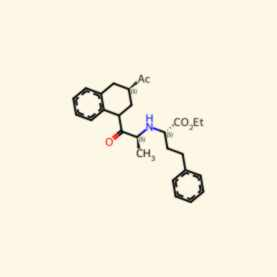 CCOC(=O)[C@H](CCc1ccccc1)N[C@@H](C)C(=O)C1C[C@H](C(C)=O)Cc2ccccc21